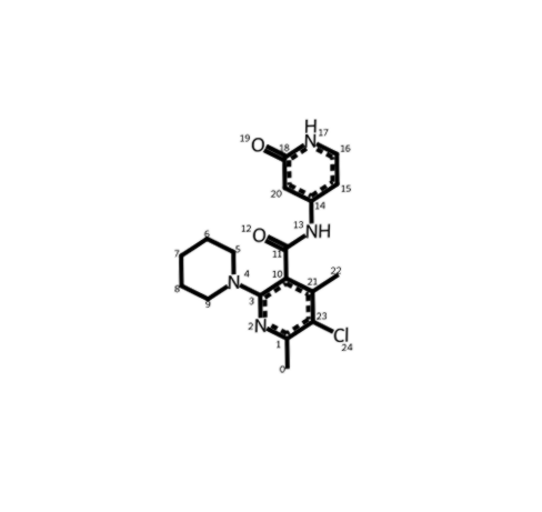 Cc1nc(N2CCCCC2)c(C(=O)Nc2cc[nH]c(=O)c2)c(C)c1Cl